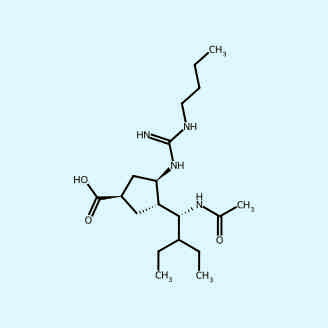 CCCCNC(=N)N[C@@H]1C[C@H](C(=O)O)C[C@H]1[C@H](NC(C)=O)C(CC)CC